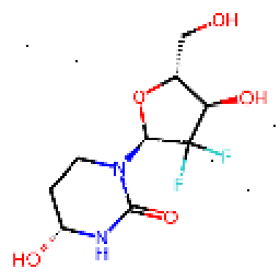 O=C1N[C@H](O)CCN1[C@H]1O[C@H](CO)[C@@H](O)C1(F)F